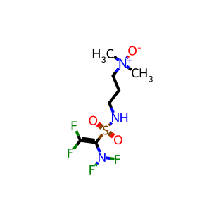 C[N+](C)([O-])CCCNS(=O)(=O)C(=C(F)F)N(F)F